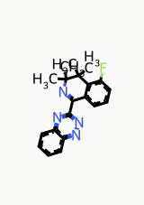 CC1(C)N=C(c2nnc3ccccc3n2)c2cccc(F)c2C1(C)C